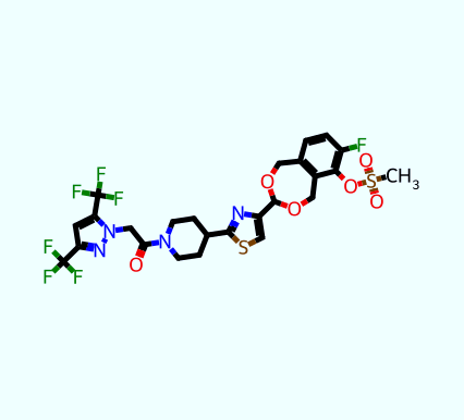 CS(=O)(=O)Oc1c(F)ccc2c1COC(c1csc(C3CCN(C(=O)Cn4nc(C(F)(F)F)cc4C(F)(F)F)CC3)n1)OC2